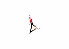 O=C1CS1